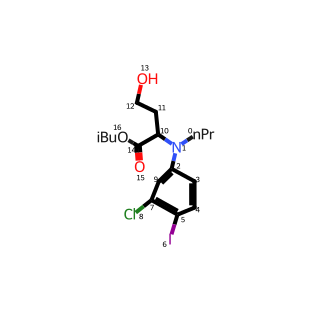 CCCN(c1ccc(I)c(Cl)c1)C(CCO)C(=O)OCC(C)C